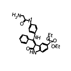 CCOP(=O)(OCC)c1ccc2c(c1)C(=C(Nc1ccc(N(C)C(=O)CN)cc1)c1ccccc1)C(=O)N2